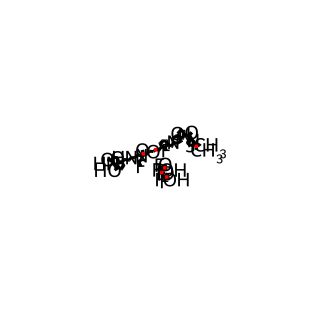 CC(C)c1nc(C(=O)N2CCOC3(CCN(Cc4cccc(CCOCCC(=O)N(CCF)CCNCCc5ccc(O)c6c5OCC(=O)N6)c4F)CC3)C2)cs1.O=C(O)C(F)(F)F.O=C(O)C(F)(F)F